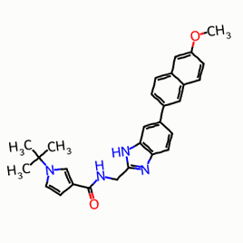 COc1ccc2cc(-c3ccc4nc(CNC(=O)c5ccn(C(C)(C)C)c5)[nH]c4c3)ccc2c1